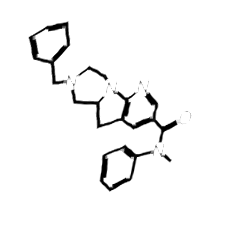 CN(C(=O)c1cnc2c(c1)CC1CN(Cc3ccccc3)CCN21)c1ccccc1